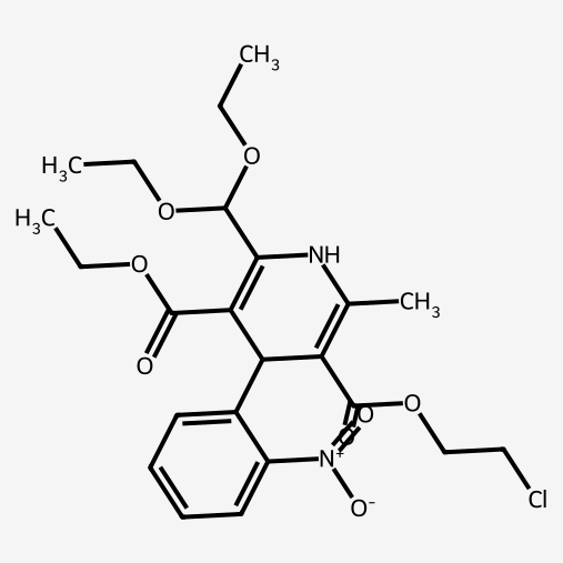 CCOC(=O)C1=C(C(OCC)OCC)NC(C)=C(C(=O)OCCCl)C1c1ccccc1[N+](=O)[O-]